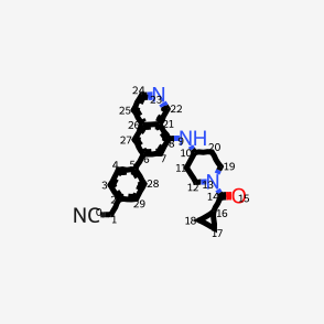 N#CCc1ccc(-c2cc(NC3CCN(C(=O)C4CC4)CC3)c3cnccc3c2)cc1